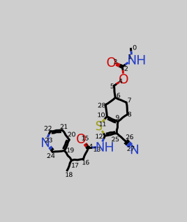 CNC(=O)OCC1CCc2c(sc(NC(=O)CC(C)c3cccnc3)c2C#N)C1